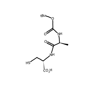 C[C@H](NC(=O)OC(C)(C)C)C(=O)N[C@@H](CS)C(=O)O